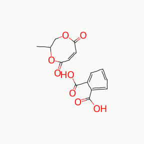 CC1COC(=O)/C=C\C(=O)O1.O=C(O)c1ccccc1C(=O)O